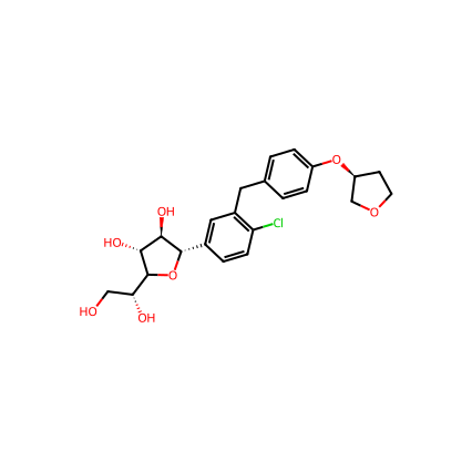 OC[C@@H](O)C1O[C@@H](c2ccc(Cl)c(Cc3ccc(O[C@H]4CCOC4)cc3)c2)[C@H](O)[C@H]1O